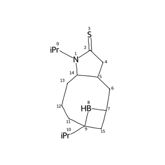 CC(C)N1C(=S)CC2CC3BC(C(C)C)(CCCC21)C3